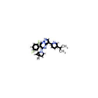 CC(C)c1ccc(-c2cnn3ccc(N4CC[C@H]5C[C@]54c4cc(F)ccc4F)nc23)nc1